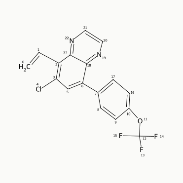 C=Cc1c(Cl)cc(-c2ccc(OC(F)(F)F)cc2)c2nccnc12